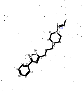 C/C=N/N1CCN(CCCc2cc(-c3ccccc3)no2)CC1